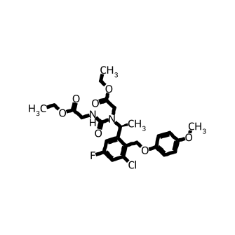 CCOC(=O)CNC(=O)N(CC(=O)OCC)[C@@H](C)c1cc(F)cc(Cl)c1COc1ccc(OC)cc1